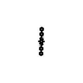 Cc1c2cc(-c3ccc(-c4ccccc4)cc3)sc2c(C)c2cc(-c3ccc(-c4ccccc4)cc3)sc12